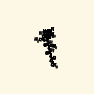 CCOC(=O)CCC(=O)NC[C@H](N)C(=O)N[C@@H](CC(C)C)B1O[C@@H]2C[C@@H]3C[C@@H](C3(C)C)[C@]2(C)O1